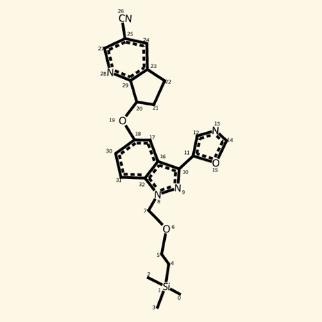 C[Si](C)(C)CCOCn1nc(-c2cnco2)c2cc(OC3CCc4cc(C#N)cnc43)ccc21